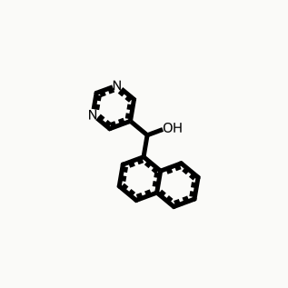 OC(c1cncnc1)c1cccc2ccccc12